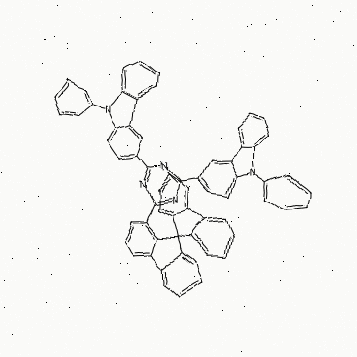 c1ccc(-n2c3ccccc3c3cc(-c4nc(-c5ccc6c(c5)c5ccccc5n6-c5ccccc5)nc(-c5cccc6c5C5(c7ccccc7-c7ccccc75)c5ccccc5-6)n4)ccc32)cc1